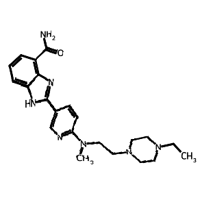 CCN1CCN(CCN(C)c2ccc(-c3nc4c(C(N)=O)cccc4[nH]3)cn2)CC1